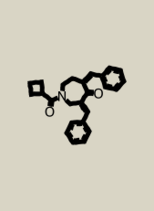 O=C1C(=Cc2ccccc2)CCN(C(=O)C2CCC2)CC1=Cc1ccccc1